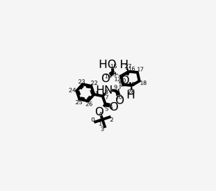 CC(C)(C)OC(=O)C(NC(=O)[C@@H]1[C@H](C(=O)O)[C@@H]2CC[C@H]1O2)c1ccccc1